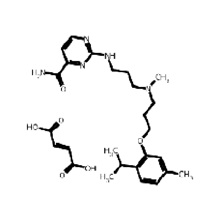 Cc1ccc(C(C)C)c(OCCCN(C)CCCNc2nccc(C(N)=O)n2)c1.O=C(O)C=CC(=O)O